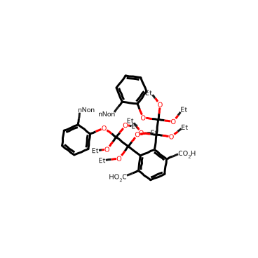 CCCCCCCCCc1ccccc1OC(OCC)(OCC)C(OCC)(OCC)c1c(C(=O)O)ccc(C(=O)O)c1C(OCC)(OCC)C(OCC)(OCC)Oc1ccccc1CCCCCCCCC